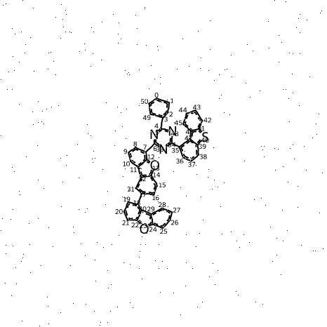 c1ccc(-c2nc(-c3cccc4c3oc3ccc(-c5cccc6oc7ccccc7c56)cc34)nc(-c3cccc4sc5ccccc5c34)n2)cc1